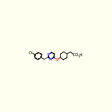 O=C(O)CC1CCC(Oc2ccnc(Cc3ccc(Cl)cc3)n2)CC1